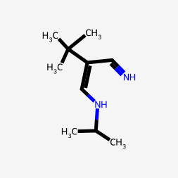 CC(C)N/C=C(\C=N)C(C)(C)C